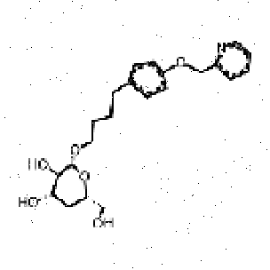 OC[C@@H]1C[C@H](O)[C@@H](O)[C@H](OCCCCc2ccc(OCc3ccccn3)cc2)O1